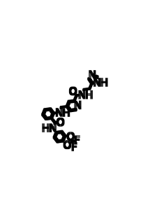 O=C(NCCc1cnc[nH]1)c1cc(CNc2ccccc2C(=O)Nc2ccc3c(c2)OC(F)(F)O3)ccn1